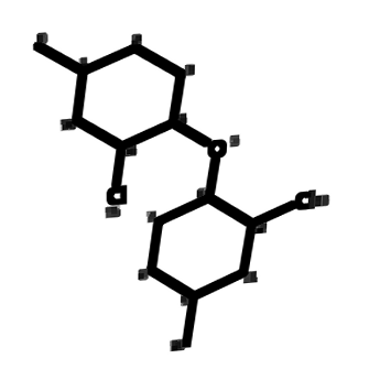 CC1CCC(OC2CCC(C)CC2Cl)C(Cl)C1